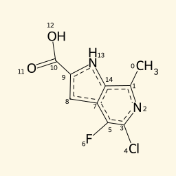 Cc1nc(Cl)c(F)c2cc(C(=O)O)[nH]c12